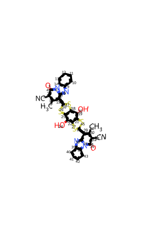 Cc1c(C#N)c(=O)n2c(nc3ccccc32)c1=C1Sc2c(O)c3c(c(O)c2S1)SC(=c1c(C)c(C#N)c(=O)n2c1nc1ccccc12)S3